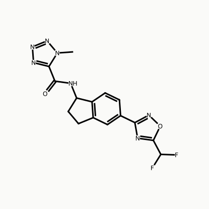 Cn1nnnc1C(=O)NC1CCc2cc(-c3noc(C(F)F)n3)ccc21